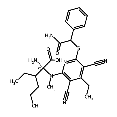 CCCC(CC)[C@@](N)(C(=O)O)N(C)c1nc(SC(C(N)=O)c2ccccc2)c(C#N)c(CC)c1C#N